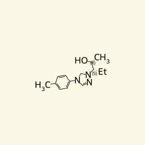 CC[C@@H]([C@@H](C)O)N1CN(c2ccc(C)cc2)C=N1